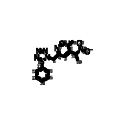 CCC(=CC(CN1N=NN=S1c1ccccc1)=NO)C(C)[N+](=O)[O-]